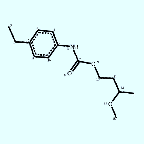 CCc1ccc(NC(=O)OCCC(C)OC)cc1